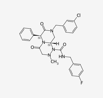 CN1CC(=O)N2[C@@H](c3ccccc3)C(=O)N(Cc3cccc(Cl)c3)C[C@@H]2N1C(=O)NCc1ccc(F)cc1